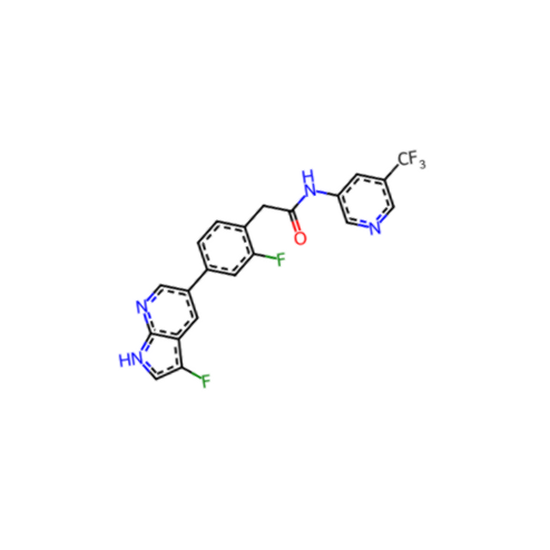 O=C(Cc1ccc(-c2cnc3[nH]cc(F)c3c2)cc1F)Nc1cncc(C(F)(F)F)c1